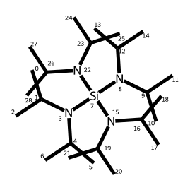 CC(C)N(C(C)C)[Si](N(C(C)C)C(C)C)(N(C(C)C)C(C)C)N(C(C)C)C(C)C